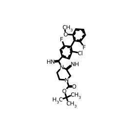 COc1cccc(F)c1-c1c(F)cc(C(=N)N2CCN(C(=O)OC(C)(C)C)CC2=N)cc1Cl